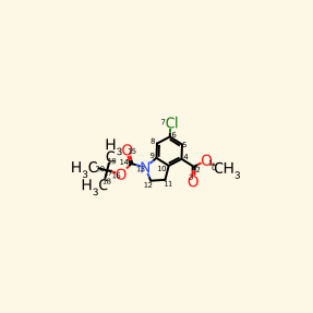 COC(=O)c1cc(Cl)cc2c1CCN2C(=O)OC(C)(C)C